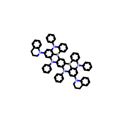 c1ccc(N2c3ccccc3B3c4cc5c(cc4N(c4ccccc4)c4cc(N6CCCc7ccccc76)cc2c43)N(c2ccccc2)c2cc(N3CCCc4ccccc43)cc3c2B5c2ccccc2N3c2ccccc2)cc1